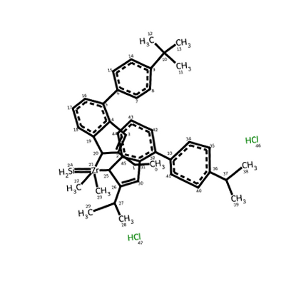 CCC1=Cc2c(-c3ccc(C(C)(C)C)cc3)cccc2[CH]1[Zr]([CH3])([CH3])(=[SiH2])[CH]1C(C(C)C)=Cc2c(-c3ccc(C(C)C)cc3)cccc21.Cl.Cl